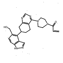 C=CC(=O)N1CCN(c2ncnc3c2CCC(c2c(CO)ccc4[nH]ncc24)C3)CC1